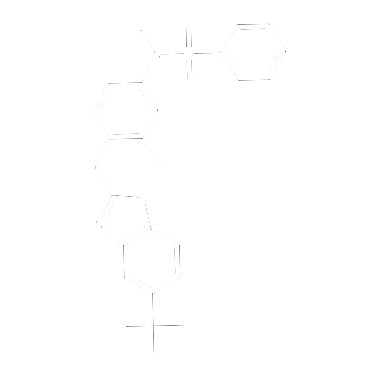 O=S(=O)(c1ccccc1)N(Cl)c1ccc(Cc2nc3cc(C(F)(F)F)ccc3s2)c(Cl)c1